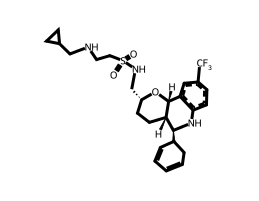 O=S(=O)(CCNCC1CC1)NC[C@H]1CC[C@@H]2[C@H](O1)c1cc(C(F)(F)F)ccc1N[C@H]2C1C=CC=CC1